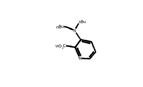 CCCCN(CCCC)c1cccnc1C(=O)O